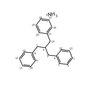 N.c1ccc(CC(Cc2ccccc2)Cc2ccccc2)cc1